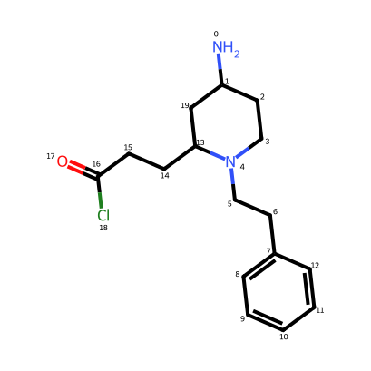 NC1CCN(CCc2ccccc2)C(CCC(=O)Cl)C1